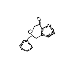 O=C1COC(c2ccccc2)Cc2cccnc21